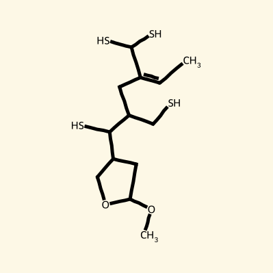 CC=C(CC(CS)C(S)C1COC(OC)C1)C(S)S